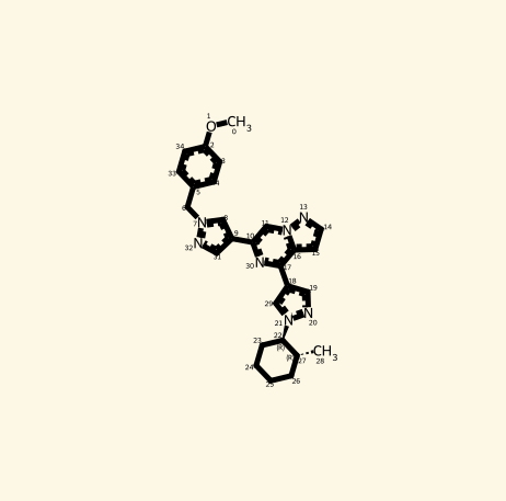 COc1ccc(Cn2cc(-c3cn4nccc4c(-c4cnn([C@@H]5CCCC[C@H]5C)c4)n3)cn2)cc1